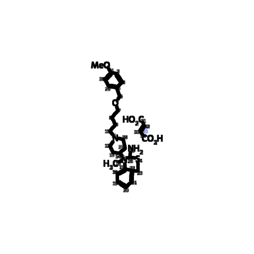 COc1ccc(COCCCCN2CCC([N+]3(C)c4ccccc4CSC3N)CC2)cc1.O=C(O)/C=C/C(=O)O